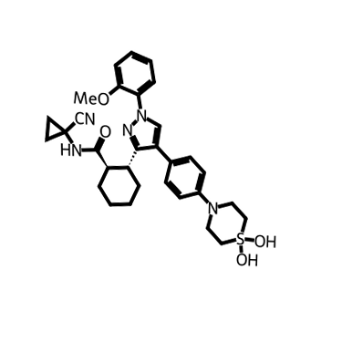 COc1ccccc1-n1cc(-c2ccc(N3CCS(O)(O)CC3)cc2)c([C@@H]2CCCC[C@H]2C(=O)NC2(C#N)CC2)n1